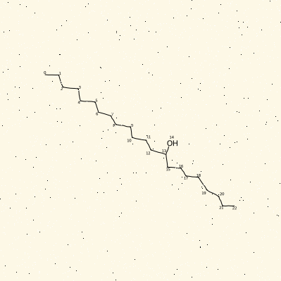 CCCCCCCCCCCCCC(O)CCCCCCCC